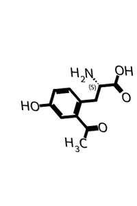 CC(=O)c1cc(O)ccc1C[C@H](N)C(=O)O